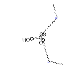 CCCCCCCC/C=C\CCCCCCCCCCCC(=O)Oc1cc(C=Cc2ccc(O)cc2)cc(OC(=O)CCCCCCCCCCC/C=C\CCCCCCCC)c1